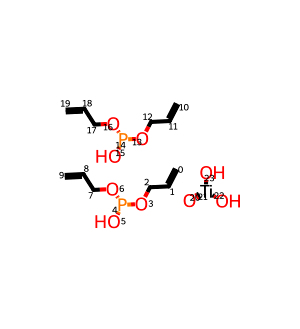 C=CCOP(O)OCC=C.C=CCOP(O)OCC=C.[O]=[Ti]([OH])[OH]